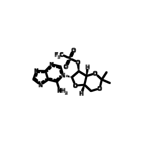 CC1(C)OC[C@@H]2O[C@H](n3cnc4ncnc-4c3N)[C@@H](OS(=O)(=O)C(F)(F)F)[C@@H]2O1